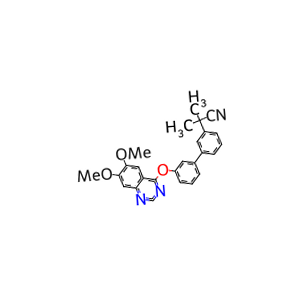 COc1cc2ncnc(Oc3cccc(-c4cccc(C(C)(C)C#N)c4)c3)c2cc1OC